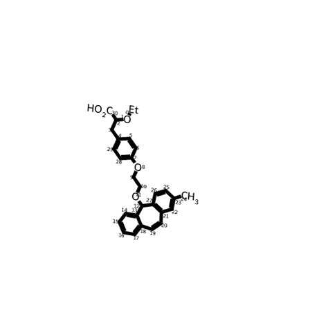 CCOC(Cc1ccc(OCCOC2c3ccccc3C=Cc3cc(C)ccc32)cc1)C(=O)O